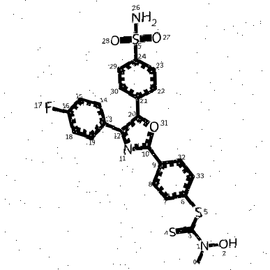 CN(O)C(=S)Sc1ccc(-c2nc(-c3ccc(F)cc3)c(-c3ccc(S(N)(=O)=O)cc3)o2)cc1